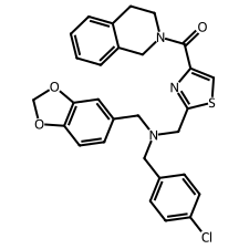 O=C(c1csc(CN(Cc2ccc(Cl)cc2)Cc2ccc3c(c2)OCO3)n1)N1CCc2ccccc2C1